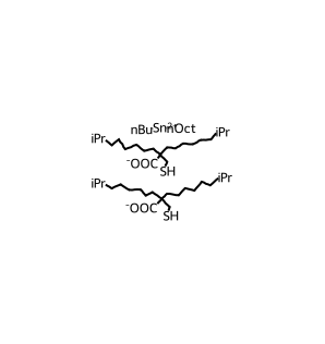 CC(C)CCCCCCC(CS)(CCCCCCC(C)C)C(=O)[O-].CC(C)CCCCCCC(CS)(CCCCCCC(C)C)C(=O)[O-].CCCCCCC[CH2][Sn+2][CH2]CCC